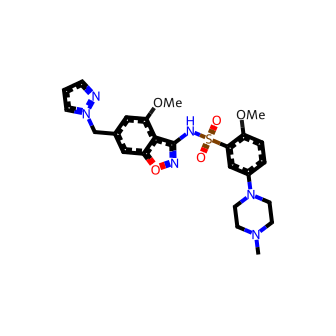 COc1ccc(N2CCN(C)CC2)cc1S(=O)(=O)Nc1noc2cc(Cn3cccn3)cc(OC)c12